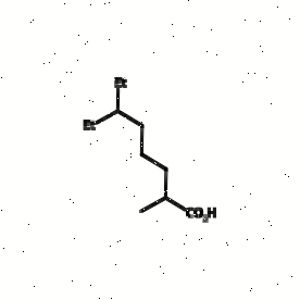 CCC(CC)CCCC(C)C(=O)O